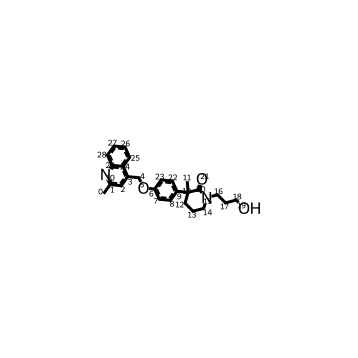 Cc1cc(COc2ccc(C3(C)CCCN(CCCO)C3=O)cc2)c2ccccc2n1